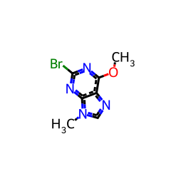 COc1nc(Br)nc2c1ncn2C